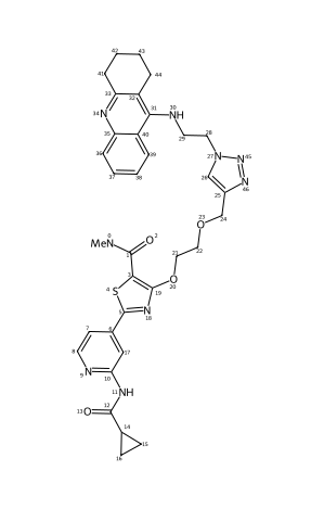 CNC(=O)c1sc(-c2ccnc(NC(=O)C3CC3)c2)nc1OCCOCc1cn(CCNc2c3c(nc4ccccc24)CCCC3)nn1